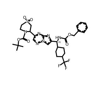 CC(C)(C)OC(=O)N1CCS(=O)(=O)CC1c1cnn2cc([C@@H](NC(=O)OCc3ccccc3)C3CCC(C(F)(F)F)CC3)nc2n1